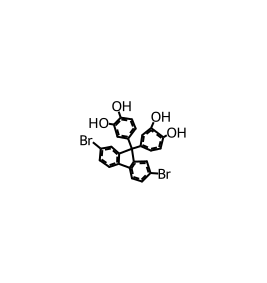 Oc1ccc(C2(c3ccc(O)c(O)c3)c3cc(Br)ccc3-c3ccc(Br)cc32)cc1O